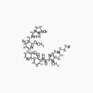 COc1nc(-c2ccnc(-c3cccc(NC(=O)c4nc5c(n4C)CCN(CCCF)C5)c3Cl)c2Cl)cc(F)c1CNC[C@H]1CCC(=O)N1